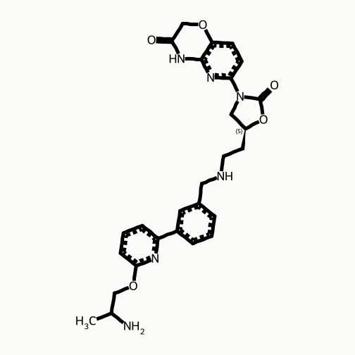 CC(N)COc1cccc(-c2cccc(CNCC[C@H]3CN(c4ccc5c(n4)NC(=O)CO5)C(=O)O3)c2)n1